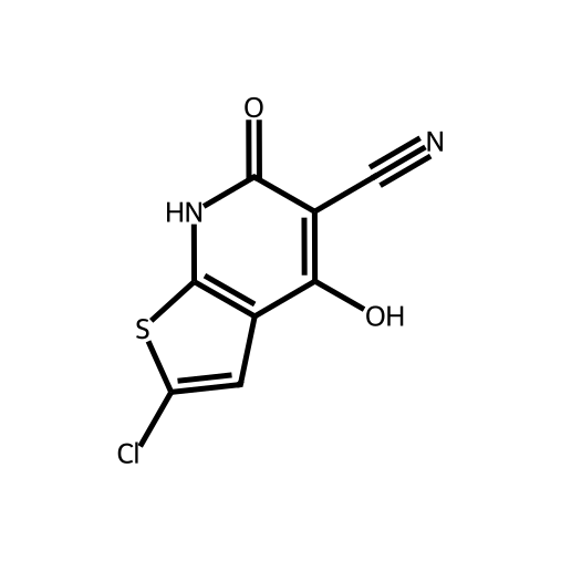 N#Cc1c(O)c2cc(Cl)sc2[nH]c1=O